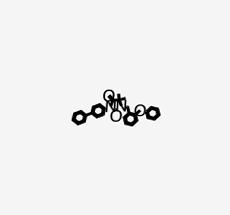 CC1(C)C(=O)N(c2ccc(-c3ccccc3)cc2)C(=O)N1Cc1ccccc1Oc1ccccc1